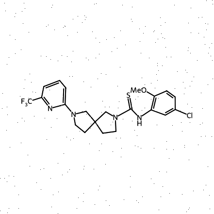 COc1ccc(Cl)cc1NC(=S)N1CCC2(CCN(c3cccc(C(F)(F)F)n3)C2)C1